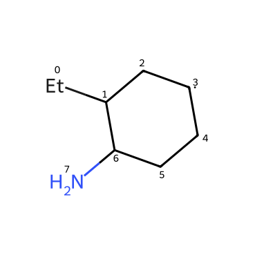 CCC1C[CH]CCC1N